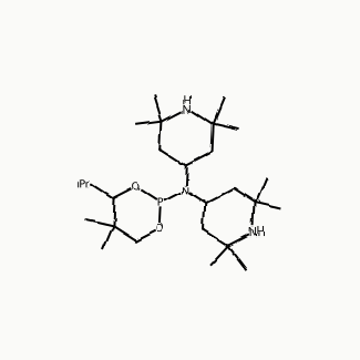 CC(C)C1OP(N(C2CC(C)(C)NC(C)(C)C2)C2CC(C)(C)NC(C)(C)C2)OCC1(C)C